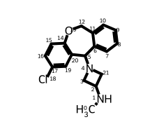 CNC1CN(C2c3ccccc3COc3ccc(Cl)cc32)C1